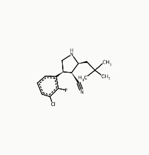 CC(C)(C)C[C@@H]1NC[C@H](c2cccc(Cl)c2F)[C@@H]1C#N